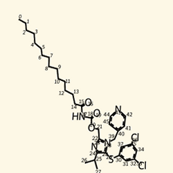 CCCCCCCCCCCCCCCC(=O)NC(=O)OCc1nc(C(C)C)c(Sc2cc(Cl)cc(Cl)c2)n1Cc1ccncc1